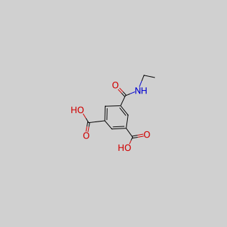 CCNC(=O)c1cc(C(=O)O)cc(C(=O)O)c1